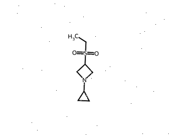 CCS(=O)(=O)C1CN(C2CC2)C1